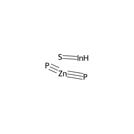 [P]#[Zn]#[P].[S]=[InH]